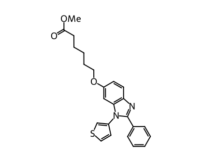 COC(=O)CCCCCOc1ccc2nc(-c3ccccc3)n(-c3ccsc3)c2c1